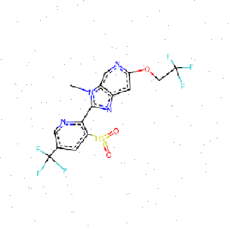 Cn1c(-c2ncc(C(F)(F)F)cc2[SH](=O)=O)nc2cc(OCC(F)(F)F)ncc21